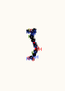 O=C1CC[C@H](Nc2ccc(N3CCC(O)(CC(=O)N4CCC5(CC4)CN(c4ccc(-c6cc(F)c7cn(C(C(=O)Nc8nccs8)c8ncn9c8CCC9)nc7c6)cc4)C5)CC3)c(F)c2)C(=O)N1